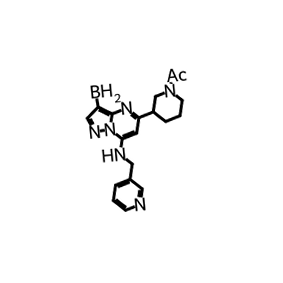 Bc1cnn2c(NCc3cccnc3)cc(C3CCCN(C(C)=O)C3)nc12